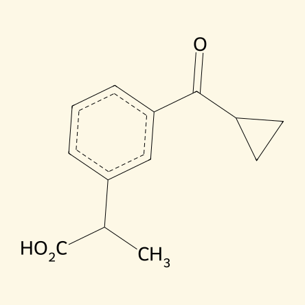 CC(C(=O)O)c1cccc(C(=O)C2CC2)c1